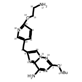 CCCCOc1nc(N)c2nc(Cc3ccc(OCCN)nc3)cn2n1